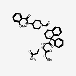 COc1ccccc1C(=O)NC1CCN(C(=O)[C@H]2CC[C@@](C(=O)N[C@@H](CCC(N)=O)C(=O)OC(C)(C)C)(c3ccccc3)c3ccccc32)CC1